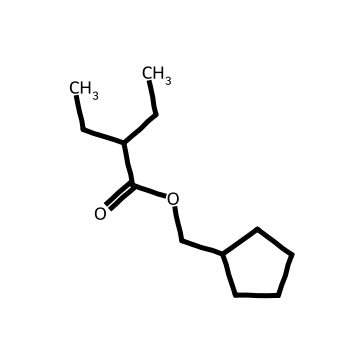 CCC(CC)C(=O)OCC1CCCC1